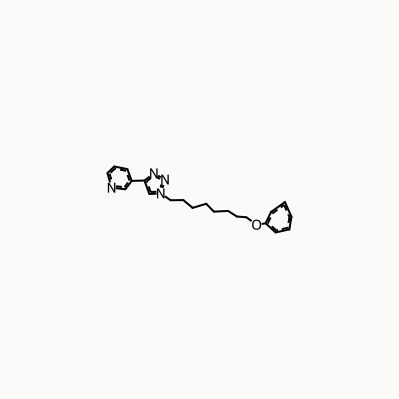 c1ccc(OCCCCCCCCn2cc(-c3cccnc3)nn2)cc1